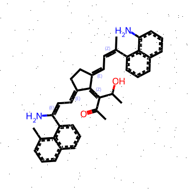 CC(=O)/C(=C1C(=C/C=C(/C)c2cccc3cccc(N)c23)/CCC/1=C\C=C(\N)c1cccc2cccc(C)c12)C(C)O